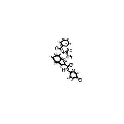 CC(=O)N(C(C)C)N(C(=O)C1CCCCC1)c1cccc2cc(C(=O)Nc3ccc(Cl)cn3)oc12